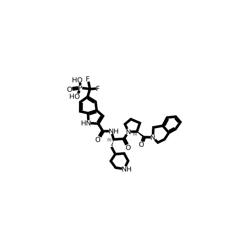 O=C(N[C@@H](CC1CCNCC1)C(=O)N1CCC[C@H]1C(=O)N1CCc2ccccc2C1)c1cc2cc(C(F)(F)P(=O)(O)O)ccc2[nH]1